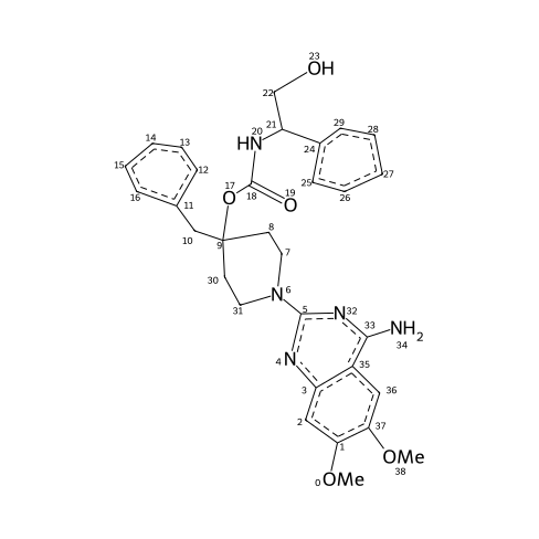 COc1cc2nc(N3CCC(Cc4ccccc4)(OC(=O)NC(CO)c4ccccc4)CC3)nc(N)c2cc1OC